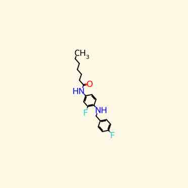 CCCCCCC(=O)Nc1ccc(NCc2ccc(F)cc2)c(F)c1